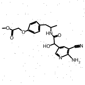 COC(=O)COc1ccc(CC(C)NC(=O)C(O)c2cnc(N)c(C#N)c2)cc1